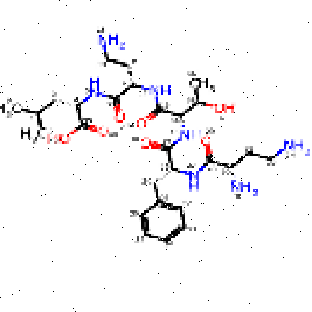 CC(C)C[C@H](NC(=O)[C@H](CCN)NC(=O)[C@@H](NC(=O)[C@@H](Cc1ccccc1)NC(=O)[C@@H](N)CCN)[C@@H](C)O)C(=O)O